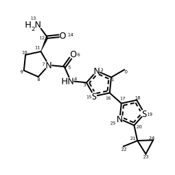 Cc1nc(NC(=O)N2CCC[C@H]2C(N)=O)sc1-c1csc(C2(C)CC2)n1